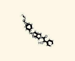 C/C=C\C(=C/C)C(O)C(=O)N1Cc2cn(Sc3ccc4c(c3)N4OSC)nc2C1